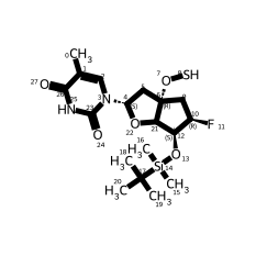 Cc1cn([C@@H]2C[C@@]3(OS)C[C@@H](F)[C@@H](O[Si](C)(C)C(C)(C)C)C3O2)c(=O)[nH]c1=O